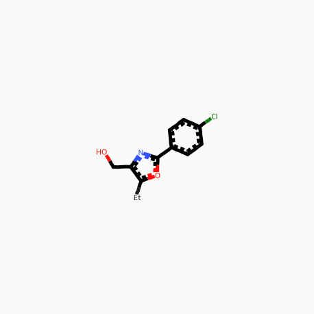 CCc1oc(-c2ccc(Cl)cc2)nc1CO